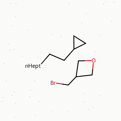 BrCC1COC1.CCCCCCCCCC1CC1